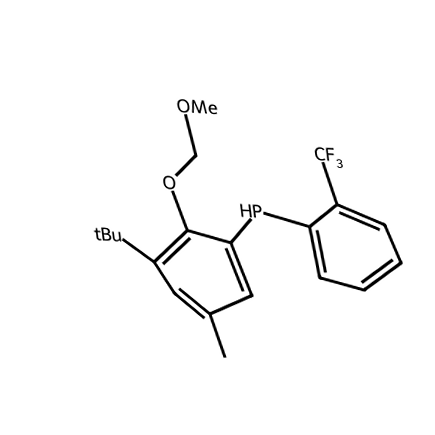 COCOc1c(Pc2ccccc2C(F)(F)F)cc(C)cc1C(C)(C)C